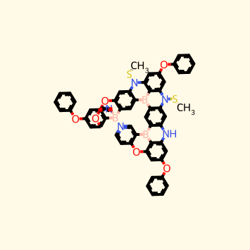 CSN1c2cc3c(cc2B2c4cc5c(cc4N(SC)c4cc(Oc6ccccc6)cc1c42)Oc1cc(Oc2ccccc2)cc2c1B5c1cnccc1O2)B1c2cnccc2Oc2cc(Oc4ccccc4)cc(c21)N3